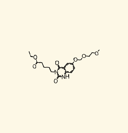 CCOC(=O)CCCCn1c(=O)[nH]c2ccc(OCOCCOC)cc2c1=O